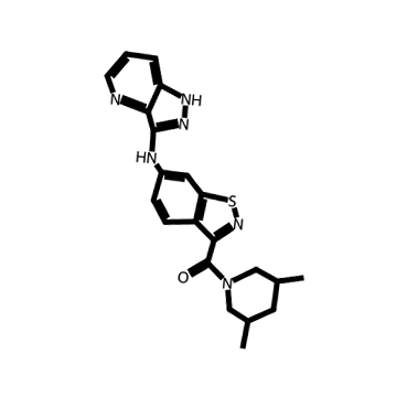 CC1CC(C)CN(C(=O)c2nsc3cc(Nc4n[nH]c5cccnc45)ccc23)C1